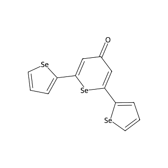 O=c1cc(-c2ccc[se]2)[se]c(-c2ccc[se]2)c1